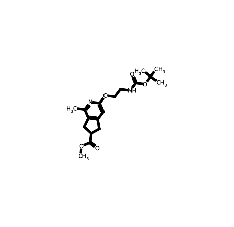 COC(=O)C1Cc2cc(OCCNC(=O)OC(C)(C)C)nc(C)c2C1